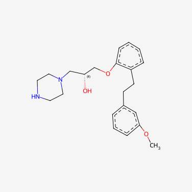 COc1cccc(CCc2ccccc2OC[C@H](O)CN2CCNCC2)c1